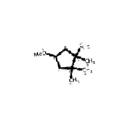 COC1CC(C)(C)C(C)(C)C1